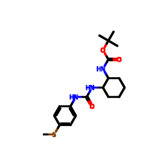 CSc1ccc(NC(=O)NC2CCCCC2NC(=O)OC(C)(C)C)cc1